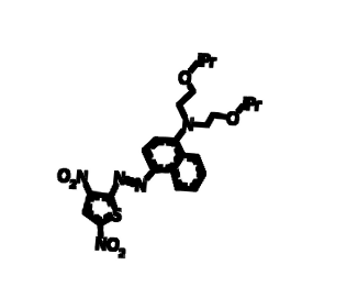 CC(C)OCCN(CCOC(C)C)c1ccc(N=Nc2sc([N+](=O)[O-])cc2[N+](=O)[O-])c2ccccc12